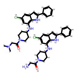 CN(C)CC(=O)N1CCC(Nc2cc(Cl)cc3cc(-c4ccccc4)[nH]c23)CC1.NCC(=O)N1CCC(Nc2cc(Cl)cc3cc(-c4ccccc4)[nH]c23)CC1